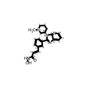 CN1CCC[C@@H](n2c(-c3cccc(/C=C/C(=O)NO)c3)nc3cccnc32)C1